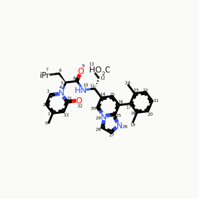 Cc1ccn([C@@H](CC(C)C)C(=O)N[C@H](CC(=O)O)c2cc(-c3c(C)cccc3C)c3nccn3c2)c(=O)c1